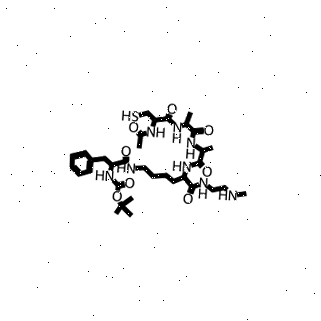 CNCCNC(=O)C(CCCCNC(=O)C(Cc1ccccc1)NC(=O)OC(C)(C)C)NC(=O)C(C)NC(=O)C(C)NC(=O)C(CS)NC(C)=O